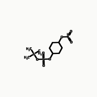 C[Si](C)(C)OS(=O)(=O)OC1CCC(O[SH](=O)=O)CC1